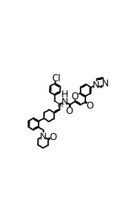 O=C(N[C@@H](C=C1CCC(c2ccccc2CN2CCCCC2=O)CC1)Cc1ccc(Cl)cc1)c1cc(=O)c2cc(-n3ccnc3)ccc2o1